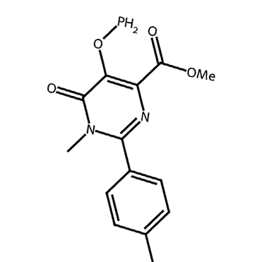 COC(=O)c1nc(-c2ccc(C)cc2)n(C)c(=O)c1OP